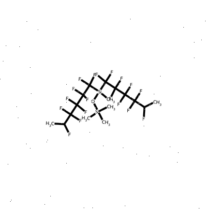 CC(F)C(F)(F)C(F)(F)C(F)(F)C(F)(F)[Si](C)(O[Si](C)(C)C)C(F)(F)C(F)(F)C(F)(F)C(F)(F)C(C)F